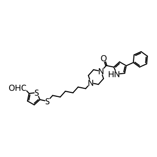 O=Cc1ccc(SCCCCCCN2CCN(C(=O)c3cc(-c4ccccc4)c[nH]3)CC2)s1